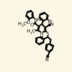 COc1ccccc1NC(=O)C1=C(C)NC(SC(Cc2ccc(C#N)cc2)c2ccccc2)=C(C#N)C1c1ccccc1Br